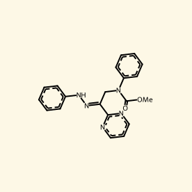 COC(=O)N(C/C(=N\Nc1ccccc1)c1ncccn1)c1ccccc1